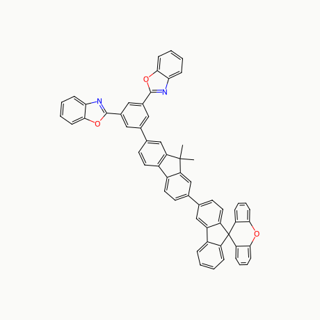 CC1(C)c2cc(-c3cc(-c4nc5ccccc5o4)cc(-c4nc5ccccc5o4)c3)ccc2-c2ccc(-c3ccc4c(c3)-c3ccccc3C43c4ccccc4Oc4ccccc43)cc21